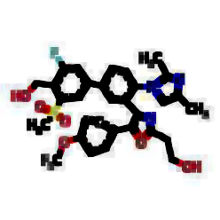 Cc1cn(-c2ccc(-c3cc(F)c(CO)c(S(C)(=O)=O)c3)cc2-c2nc(CCO)oc2-c2ccc(OC(F)(F)F)cc2)c(C)n1